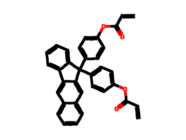 C=CC(=O)Oc1ccc(C2(c3ccc(OC(=O)C=C)cc3)c3ccccc3-c3cc4ccccc4cc32)cc1